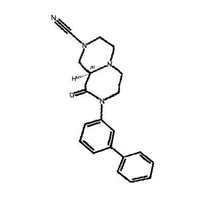 N#CN1CCN2CCN(c3cccc(-c4ccccc4)c3)C(=O)[C@H]2C1